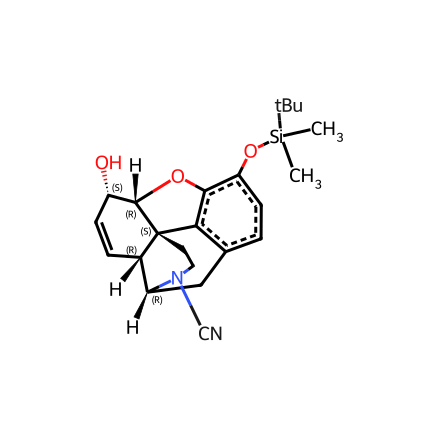 CC(C)(C)[Si](C)(C)Oc1ccc2c3c1O[C@H]1[C@@H](O)C=C[C@H]4[C@@H](C2)N(C#N)CC[C@@]341